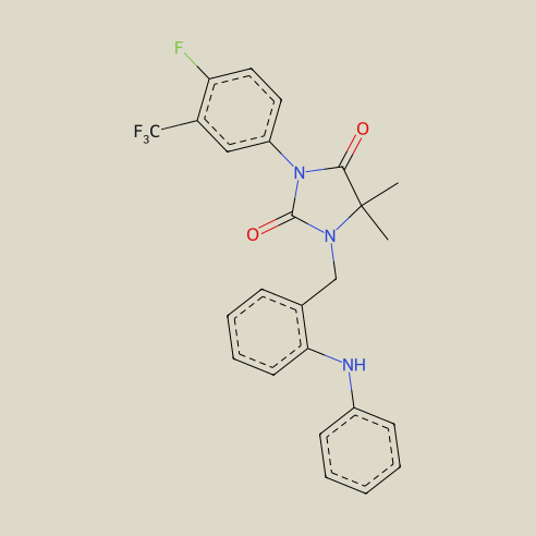 CC1(C)C(=O)N(c2ccc(F)c(C(F)(F)F)c2)C(=O)N1Cc1ccccc1Nc1ccccc1